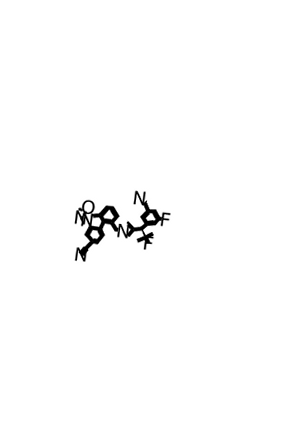 CC(C)(F)[C@H](c1cc(F)cc(C#N)c1)C1CN(Cc2cccc(-c3nnco3)c2-c2ccc(C#N)cc2)C1